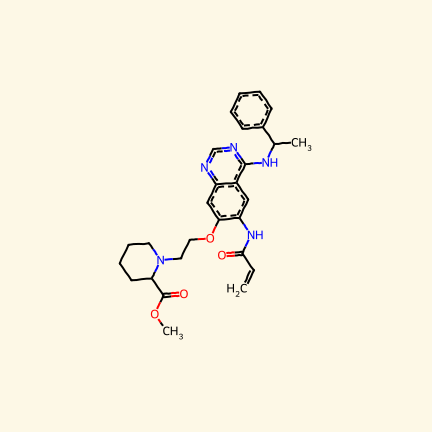 C=CC(=O)Nc1cc2c(NC(C)c3ccccc3)ncnc2cc1OCCN1CCCCC1C(=O)OC